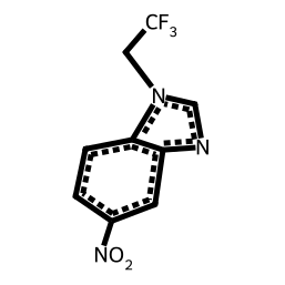 O=[N+]([O-])c1ccc2c(c1)ncn2CC(F)(F)F